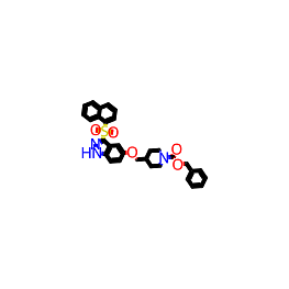 O=C(OCc1ccccc1)N1CCC(COc2ccc3[nH]nc(S(=O)(=O)c4cccc5ccccc45)c3c2)CC1